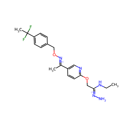 CCN/C(COc1ccc(/C(C)=N/OCc2ccc(C(C)(F)F)cc2)cn1)=N\N